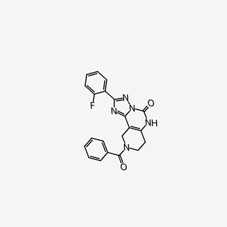 O=C(c1ccccc1)N1CCc2[nH]c(=O)n3nc(-c4ccccc4F)nc3c2C1